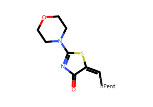 CCCCCC=C1SC(N2CCOCC2)=NC1=O